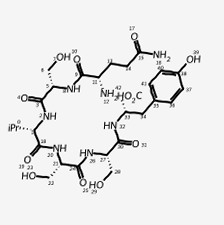 CC(C)[C@H](NC(=O)[C@H](CO)NC(=O)[C@@H](N)CCC(N)=O)C(=O)N[C@@H](CO)C(=O)N[C@@H](CO)C(=O)N[C@@H](Cc1ccc(O)cc1)C(=O)O